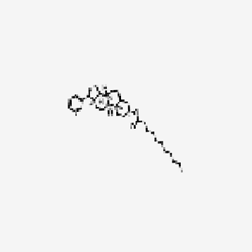 CCCCCCCCCCC(=O)O[C@H]1CC[C@@]2(C)C(=CC[C@@H]3[C@@H]2CC[C@]2(C)C(c4cccnc4)=CC[C@@H]32)C1